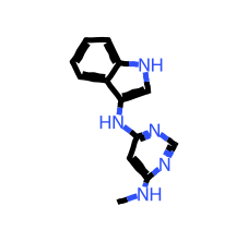 CNc1cc(Nc2c[nH]c3ccccc23)ncn1